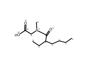 CCCCC(CC)C(=O)N(C)CC(=O)O